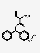 C=CC(C(=O)O)C(=O)OC(c1ccccc1)c1ccccc1.NC(=O)O